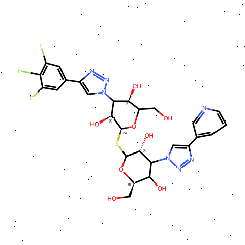 OCC1O[C@@H](SC2O[C@H](CO)C(O)C(n3cc(-c4cccnc4)nn3)[C@H]2O)[C@@H](O)C(n2cc(-c3cc(F)c(F)c(F)c3)nn2)[C@H]1O